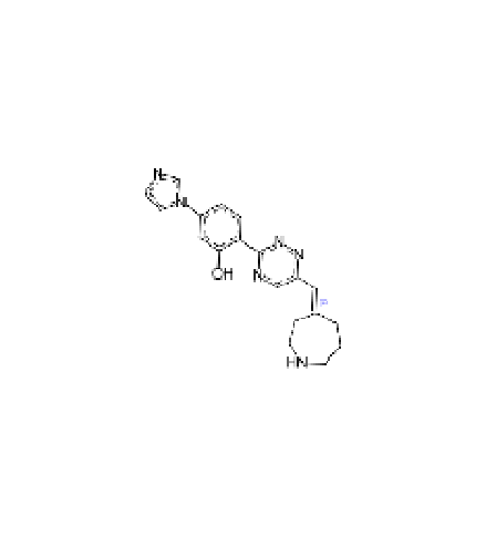 Oc1cc(-n2ccnc2)ccc1-c1ncc(/C=C2/CCCNCC2)nn1